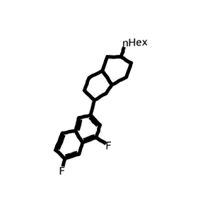 CCCCCCC1CCC2CC(c3cc(F)c4cc(F)ccc4c3)CCC2C1